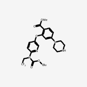 COC(=O)c1ccc(N2CCNCC2)cc1Oc1ccc(N(CC(F)(F)F)C(=O)OC(C)(C)C)nc1